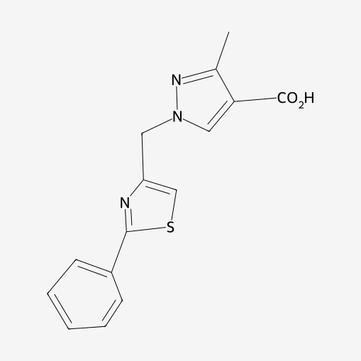 Cc1nn(Cc2csc(-c3ccccc3)n2)cc1C(=O)O